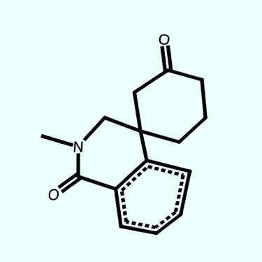 CN1CC2(CCCC(=O)C2)c2ccccc2C1=O